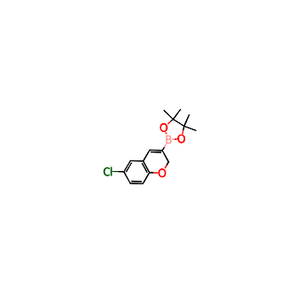 CC1(C)OB(C2=Cc3cc(Cl)ccc3OC2)OC1(C)C